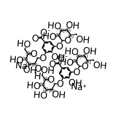 O=C([O-])c1cc(OC2O[C@H](CO)[C@@H](O)[C@H](O)[C@H]2O)c(O)c(OC2O[C@H](CO)[C@@H](O)[C@H](O)[C@H]2O)c1.O=C([O-])c1cc(OC2O[C@H](CO)[C@@H](O)[C@H](O)[C@H]2O)c(O)c(OC2O[C@H](CO)[C@@H](O)[C@H](O)[C@H]2O)c1.[Na+].[Na+]